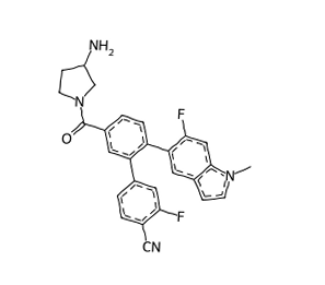 Cn1ccc2cc(-c3ccc(C(=O)N4CCC(N)C4)cc3-c3ccc(C#N)c(F)c3)c(F)cc21